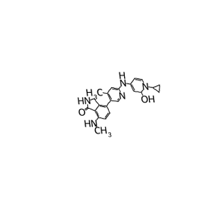 CNc1ccc(-c2cnc(NC3=CC(O)N(C4CC4)C=C3)cc2C)c2c1C(=O)NC2